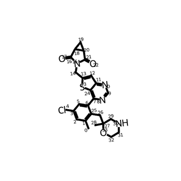 Cc1cc(Cl)cc(-c2ncnc3cc(CN4C(=O)C5CC5C4=O)sc23)c1CC1(C)CNCCO1